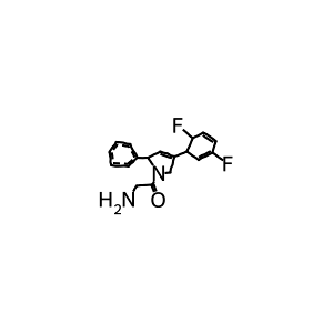 NCC(=O)N1CC(C2C=C(F)C=CC2F)=CC1c1ccccc1